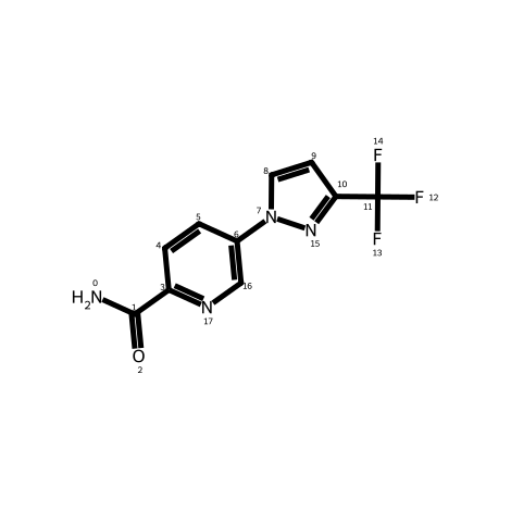 NC(=O)c1ccc(-n2ccc(C(F)(F)F)n2)cn1